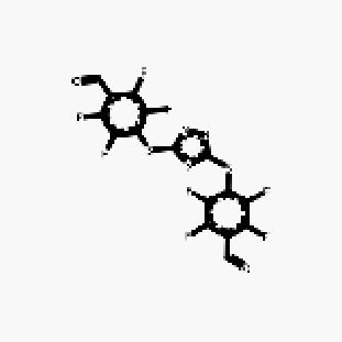 O=Cc1c(F)c(F)c(Sc2nnc(Sc3c(F)c(F)c(C=O)c(F)c3F)s2)c(F)c1F